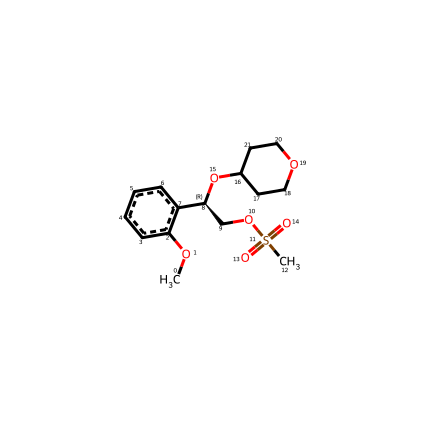 COc1ccccc1[C@H](COS(C)(=O)=O)OC1CCOCC1